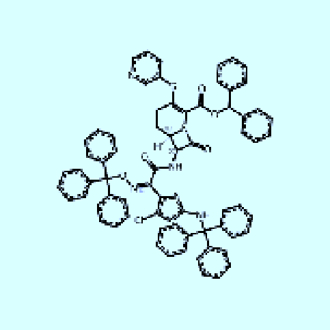 O=C(OC(c1ccccc1)c1ccccc1)C1=C(Sc2cccnc2)CC[C@@H]2[C@H](NC(=O)/C(=N\OC(c3ccccc3)(c3ccccc3)c3ccccc3)c3nc(NC(c4ccccc4)(c4ccccc4)c4ccccc4)sc3Cl)C(=O)N12